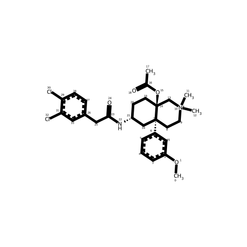 COc1cccc([C@@]23CC[N+](C)(C)C[C@@]2(OC(C)=O)CC[C@@H](NC(=O)Cc2ccc(Cl)c(Cl)c2)C3)c1